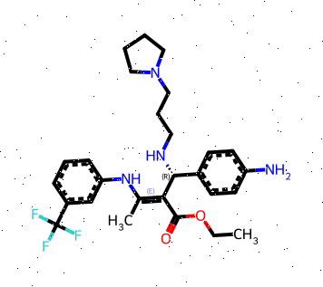 CCOC(=O)/C(=C(\C)Nc1cccc(C(F)(F)F)c1)[C@H](NCCCN1CCCC1)c1ccc(N)cc1